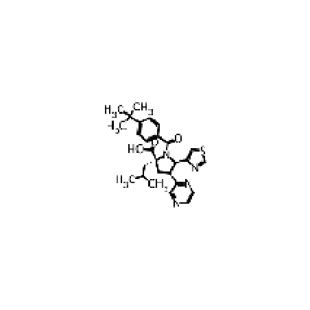 CC(C)C[C@@]1(C(=O)O)C[C@H](c2cnccn2)[C@H](c2cscn2)N1C(=O)c1ccc(C(C)(C)C)cc1